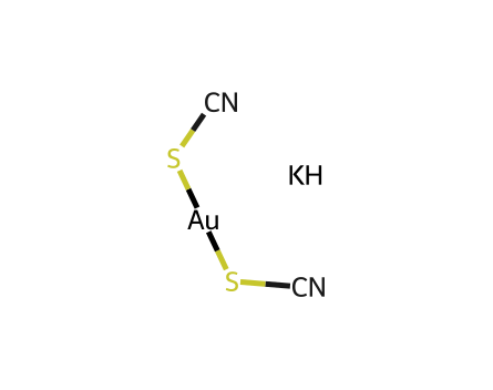 N#C[S][Au][S]C#N.[KH]